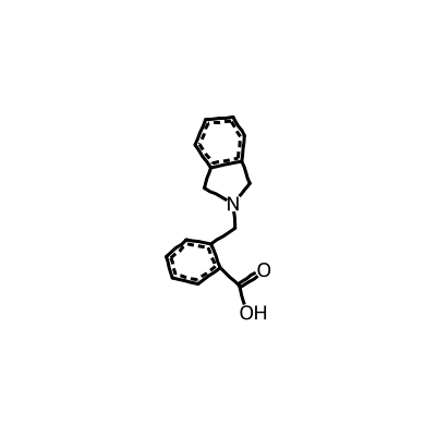 O=C(O)c1ccccc1CN1Cc2ccccc2C1